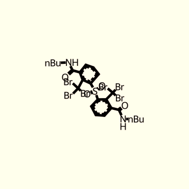 CCCCNC(=O)c1cccc(S(=O)(=O)c2cccc(C(=O)NCCCC)c2C(Br)(Br)Br)c1C(Br)(Br)Br